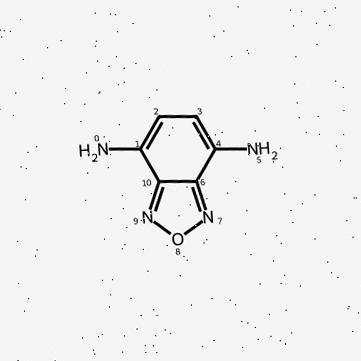 Nc1ccc(N)c2nonc12